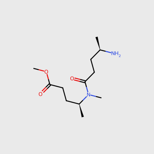 COC(=O)CC[C@H](C)N(C)C(=O)CC[C@@H](C)N